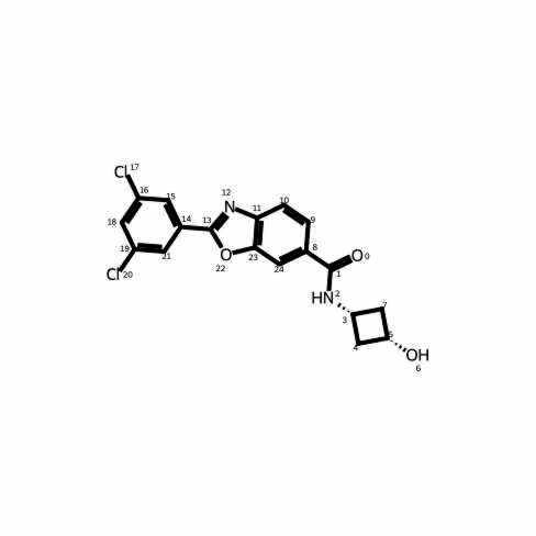 O=C(N[C@H]1C[C@@H](O)C1)c1ccc2nc(-c3cc(Cl)cc(Cl)c3)oc2c1